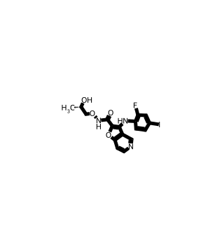 C[C@H](O)CONC(=O)c1oc2ccncc2c1Nc1ccc(I)cc1F